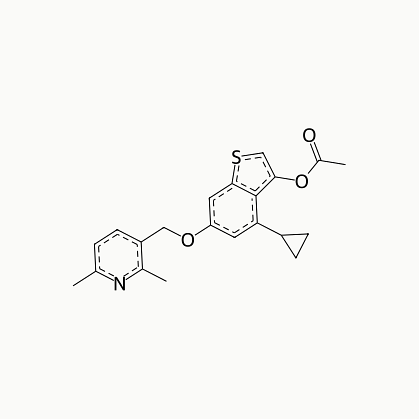 CC(=O)Oc1csc2cc(OCc3ccc(C)nc3C)cc(C3CC3)c12